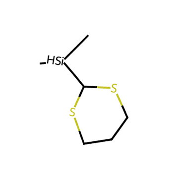 C[SiH](C)C1SCCCS1